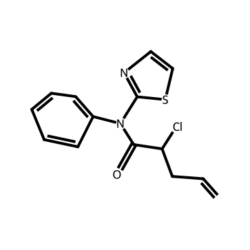 C=CCC(Cl)C(=O)N(c1ccccc1)c1nccs1